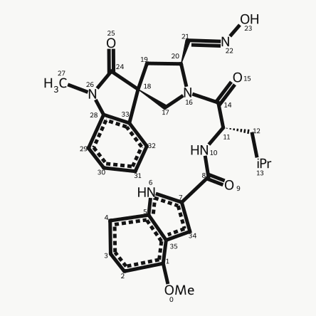 COc1cccc2[nH]c(C(=O)N[C@@H](CC(C)C)C(=O)N3C[C@]4(C[C@H]3/C=N/O)C(=O)N(C)c3ccccc34)cc12